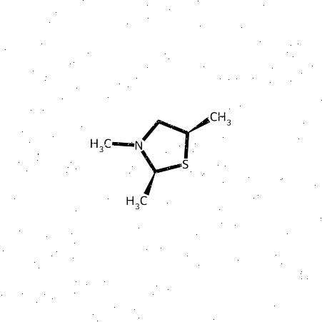 C[C@@H]1CN(C)[C@H](C)S1